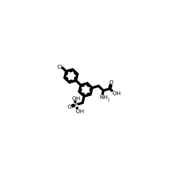 NC(Cc1cc(CP(=O)(O)O)cc(-c2ccc(Cl)cc2)c1)C(=O)O